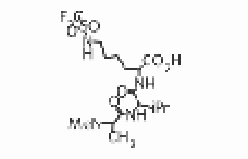 CNC(C)C(=O)NC(C(=O)NC(CCCCNS(=O)(=O)C(F)(F)F)C(=O)O)C(C)C